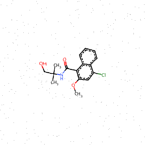 COc1cc(Cl)c2ccccc2c1C(=O)NC(C)(C)CO